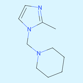 Cc1nccn1CN1CCCCC1